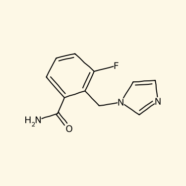 NC(=O)c1cccc(F)c1Cn1ccnc1